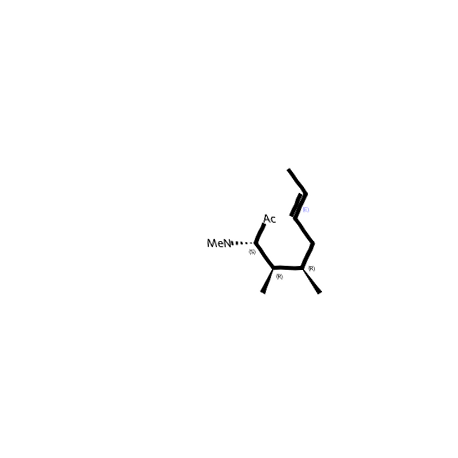 C/C=C/C[C@@H](C)[C@@H](C)[C@H](NC)C(C)=O